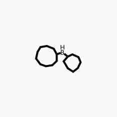 B(C1CCCCCCCCC1)C1CCCCCCC1